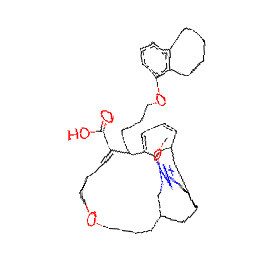 CO[N+]12CC3CCCOCC/C=C(\C(=O)O)C(CCCOc4cccc5c4CCCC5)C4=CC=CC(C(C3)C1)C42